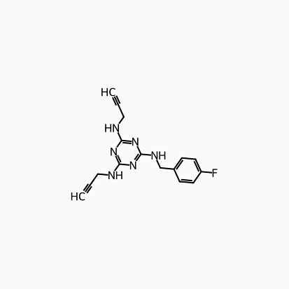 C#CCNc1nc(NCC#C)nc(NCc2ccc(F)cc2)n1